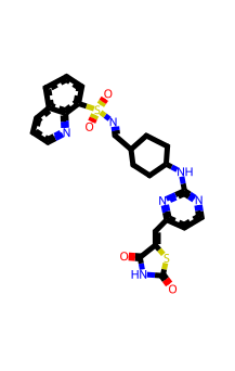 O=C1NC(=O)/C(=C/c2ccnc(NC3CCC(C=NS(=O)(=O)c4cccc5cccnc45)CC3)n2)S1